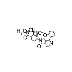 CN(C)C(=O)c1ccc(N2Cc3c(ccnc3-c3ccccc3OCC(F)(F)F)C2=O)cc1